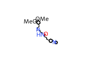 COc1ccc(CCN(C)CCCNC(=O)C/C=C/c2ccc(-n3cccc3)cc2)cc1OC